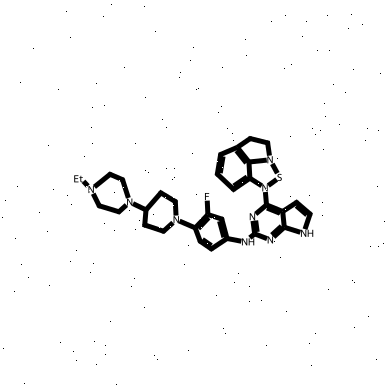 CCN1CCN(C2CCN(c3ccc(Nc4nc(N5SN6CCc7cccc5c76)c5cc[nH]c5n4)cc3F)CC2)CC1